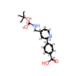 CC(C)(C)OC(=O)NCc1ccnc(-c2ccc(C(=O)O)cc2)c1